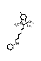 C[N+]1=C(/C=C/C=C/C=C/Nc2ccccc2)C(C)(C)c2c(I)cc(I)cc21.[I-]